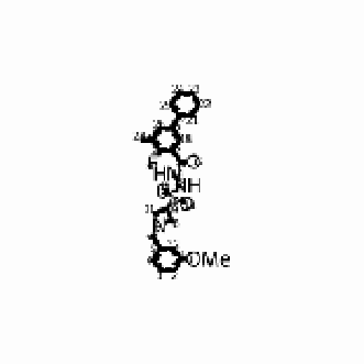 COc1cccc(CN2CC(S(=O)(=O)NNC(=O)c3cc(-c4ccccc4)cc(C)c3F)C2)c1